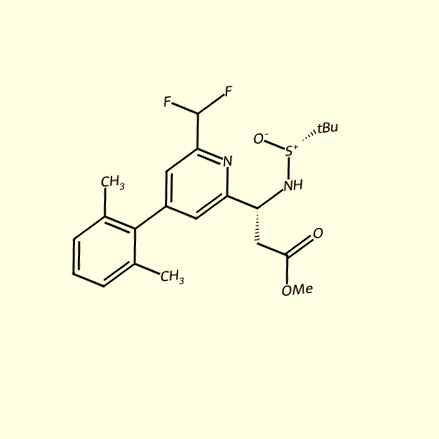 COC(=O)C[C@@H](N[S@+]([O-])C(C)(C)C)c1cc(-c2c(C)cccc2C)cc(C(F)F)n1